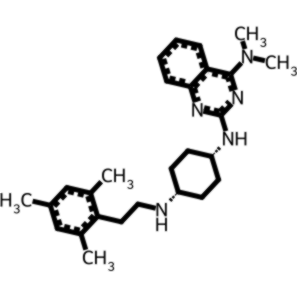 Cc1cc(C)c(CCN[C@H]2CC[C@@H](Nc3nc(N(C)C)c4ccccc4n3)CC2)c(C)c1